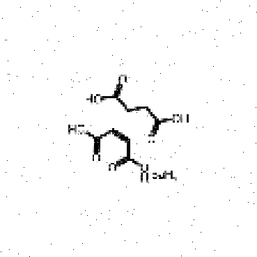 O=C(O)/C=C\C(=O)O.O=C(O)CCC(=O)O.[BaH2]